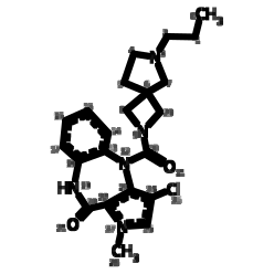 CCCN1CCC2(C1)CN(C(=O)N1c3ccccc3NC(=O)c3c1c(Cl)cn3C)C2